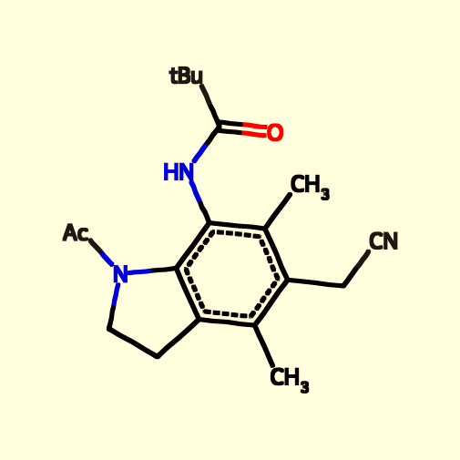 CC(=O)N1CCc2c(C)c(CC#N)c(C)c(NC(=O)C(C)(C)C)c21